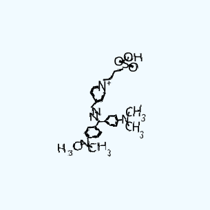 CN(C)c1ccc(C(=NN=Cc2cc[n+](CCCCS(=O)(=O)O)cc2)c2ccc(N(C)C)cc2)cc1